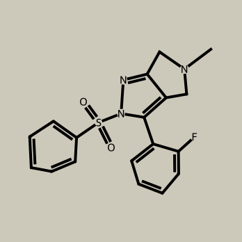 CN1Cc2nn(S(=O)(=O)c3ccccc3)c(-c3ccccc3F)c2C1